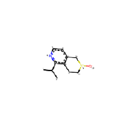 CC(C)c1nccc2c1CC[S+]([O-])C2